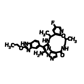 CCOc1nc2cc(-c3c4nc5c(cnn5c3N)C(=O)NCC(C)Oc3ncc(F)cc3C(C)N4)ccc2[nH]1